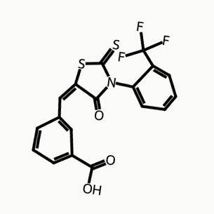 O=C(O)c1cccc(C=C2SC(=S)N(c3ccccc3C(F)(F)F)C2=O)c1